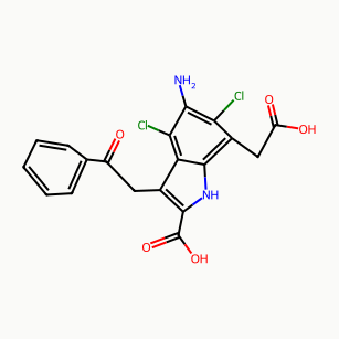 Nc1c(Cl)c(CC(=O)O)c2[nH]c(C(=O)O)c(CC(=O)c3ccccc3)c2c1Cl